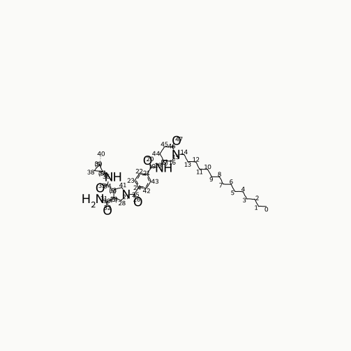 CCCCCCCCCCCCCCCN1C[C@@H](NC(=O)c2ccc(C(=O)N3C[C@@H](C(N)=O)[C@H](C(=O)N[C@H]4C[C@@H]4C)C3)cc2)CCC1=O